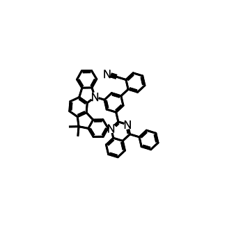 CC1(C)c2ccccc2-c2c1ccc1c3ccccc3n(-c3cc(-c4nc(-c5ccccc5)c5ccccc5n4)cc(-c4ccccc4C#N)c3)c21